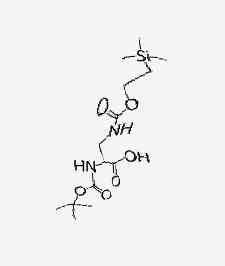 CC(C)(C)OC(=O)NC(CNC(=O)OCC[Si](C)(C)C)C(=O)O